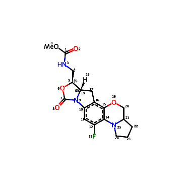 COC(=O)NC[C@@H]1OC(=O)N2c3cc(F)c4c(c3C[C@@H]12)OCC1CCCN41